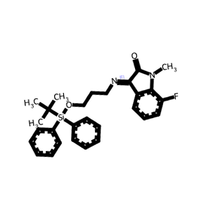 CN1C(=O)/C(=N/CCCO[Si](c2ccccc2)(c2ccccc2)C(C)(C)C)c2cccc(F)c21